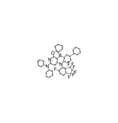 Fc1ccc2c(c1N1c3ccc(-c4ccccc4)cc3B3c4ccccc4Oc4nc(N(c5ccccc5)c5ccccc5)cc1c43)C(F)(F)C(F)(F)C2(F)F